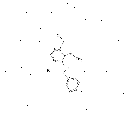 COc1c(OCc2ccccc2)ccnc1CCl.Cl